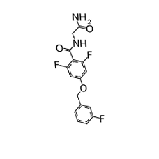 NC(=O)CNC(=O)c1c(F)cc(OCc2cccc(F)c2)cc1F